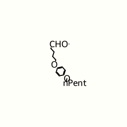 CCCCCOc1ccc(OCCCC[C]=O)cc1